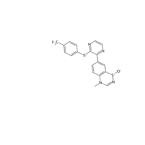 CN1C=N[S+]([O-])c2cc(-c3nccnc3Sc3ccc(C(F)(F)F)cc3)ccc21